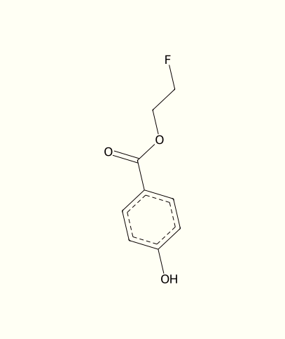 O=C(OCCF)c1ccc(O)cc1